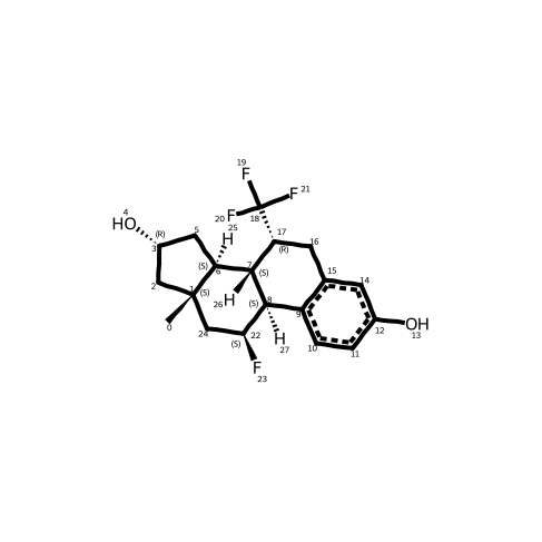 C[C@@]12C[C@H](O)C[C@H]1[C@H]1[C@@H](c3ccc(O)cc3C[C@H]1C(F)(F)F)[C@@H](F)C2